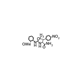 COc1ccccc1NC(=O)NC(C(N)=O)C(C)c1ccc([N+](=O)[O-])cc1